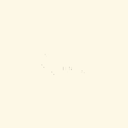 CC(N)=O.c1conn1